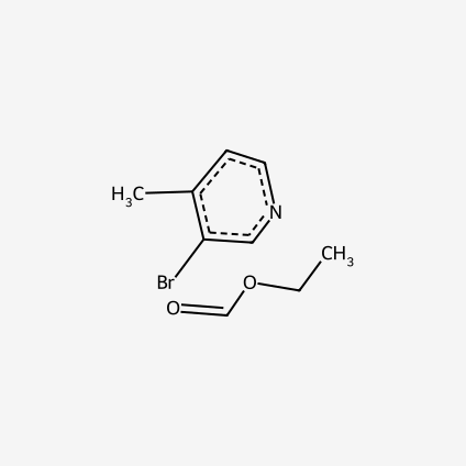 CCOC=O.Cc1ccncc1Br